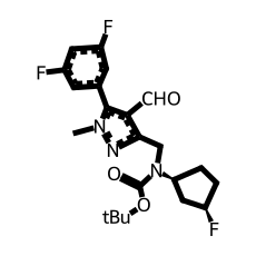 Cn1nc(CN(C(=O)OC(C)(C)C)[C@H]2CC[C@@H](F)C2)c(C=O)c1-c1cc(F)cc(F)c1